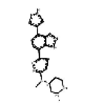 C[C@@H]1C[C@H](N(C)c2ccc(-c3ccc(-c4cn[nH]c4)c4nn[nH]c34)nn2)CCN1